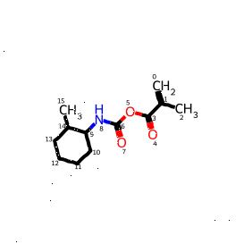 C=C(C)C(=O)OC(=O)NC1CCCCC1C